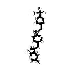 FC(F)(P)c1ccc(CNc2ccc(Cc3c[nH]c4ncc(Cl)cc34)cn2)cn1